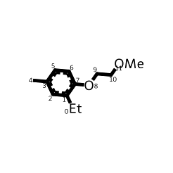 CCc1cc(C)ccc1OCCOC